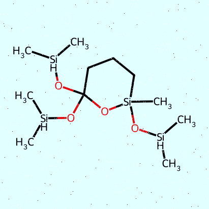 C[SiH](C)OC1(O[SiH](C)C)CCC[Si](C)(O[SiH](C)C)O1